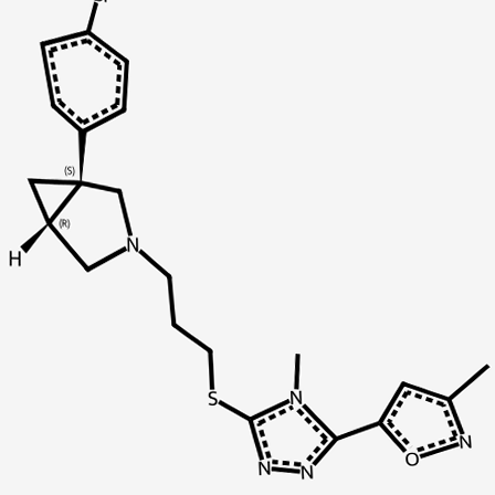 Cc1cc(-c2nnc(SCCCN3C[C@@H]4C[C@]4(c4ccc(Br)cc4)C3)n2C)on1